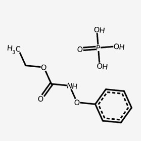 CCOC(=O)NOc1ccccc1.O=P(O)(O)O